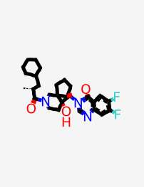 C[C@H](CC1CCCCC1)C(=O)N1CCC(O)(Cn2cnc3cc(F)c(F)cc3c2=O)C2(CCCC2)C1